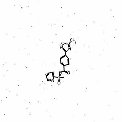 CS(=O)(=NC(=O)c1ccc(-c2noc(C(F)(F)F)n2)cc1)c1ccccn1